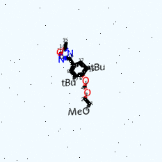 COCCOCOc1c(C(C)(C)C)cc(-c2noc(C)n2)cc1C(C)(C)C